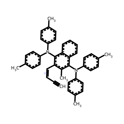 C#C/C=C\c1c(C)c(N(c2ccc(C)cc2)c2ccc(C)cc2)c2ccccc2c1N(c1ccc(C)cc1)c1ccc(C)cc1